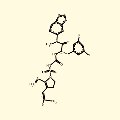 C=NC1=C(/C=C(\C)Br)CCN1S(=O)(=O)NC(=O)N[C@@H](Cc1cc(F)cc(F)c1)C(=O)N(C)c1ccc2scnc2c1